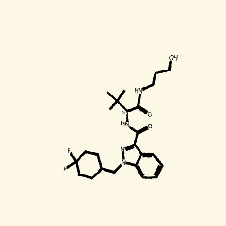 CC(C)(C)[C@H](NC(=O)c1nn(CC2CCC(F)(F)CC2)c2ccccc12)C(=O)NCCCO